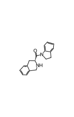 O=C([C@@H]1Cc2ccccc2CN1)N1CCc2ccccc21